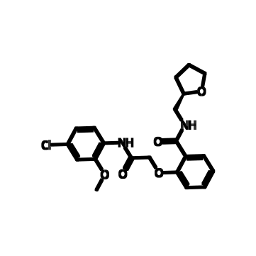 COc1cc(Cl)ccc1NC(=O)COc1ccccc1C(=O)NC[C@H]1CCCO1